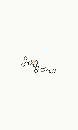 c1ccc2cc(-c3ccc4cc(-c5cc6c7cccc8c7c(cc6c6ccccc56)-c5ccc(-c6c7ccccc7cc7ccccc67)cc5O8)ccc4c3)ccc2c1